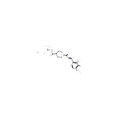 CCCCC(NC(=O)C1CCN(C(=O)/C=C/c2ccc(SC)c(Cl)c2Cl)CC1)C(=O)O